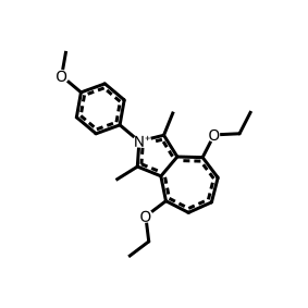 CCOc1cccc(OCC)c2c(C)[n+](-c3ccc(OC)cc3)c(C)c1-2